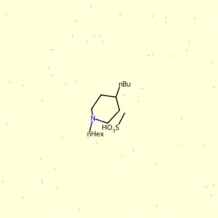 CCCCCCN1CCC(CCCC)CC1.CS(=O)(=O)O